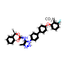 Cc1nnn(-c2ccc(-c3ccc(Oc4cccc(F)c4C(=O)O)cc3)cc2)c1NC(=O)O[C@H](C)c1ccccc1